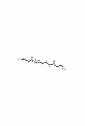 ClCCNCCCOPNCCCl